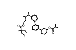 CCCC(C)(CC)C(=O)OCCC(C)C(C)c1cccc(-c2cccc(C3CCCC(OC(=O)C(C)C)C3)c2)c1